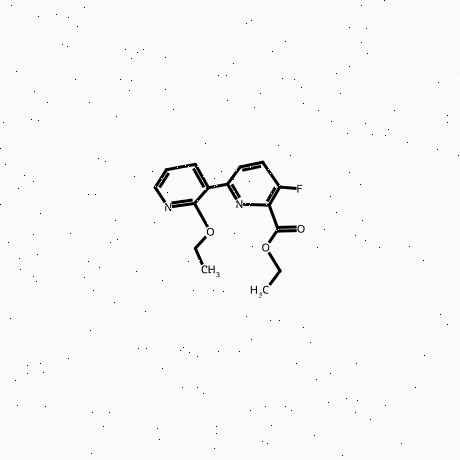 CCOC(=O)c1nc(-c2cccnc2OCC)ccc1F